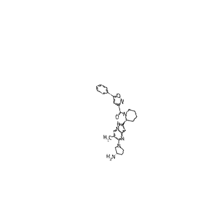 Cc1cn2nc([C@@H]3CCCCN3C(=O)c3cc(-c4ccccc4)on3)cc2nc1N1CC[C@H](N)C1